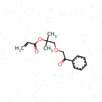 C=CC(=O)OC(C)(C)COCC(=O)c1ccccc1